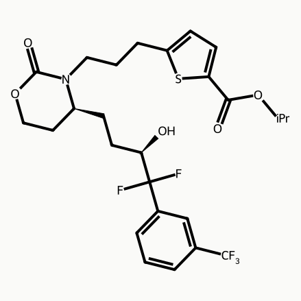 CC(C)OC(=O)c1ccc(CCCN2C(=O)OCC[C@@H]2CC[C@@H](O)C(F)(F)c2cccc(C(F)(F)F)c2)s1